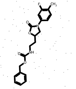 Cc1ccc(N2CC(CCNC(=O)OCc3ccccc3)OC2=O)cc1F